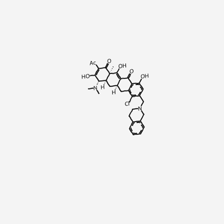 CC(=O)C1=C(O)[C@@H](N(C)C)[C@@H]2C[C@@H]3Cc4c(Cl)c(CN5CCc6ccccc6C5)cc(O)c4C(=O)C3=C(O)[C@]2(C)C1=O